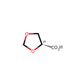 O=C(O)[C@H]1CO[CH]O1